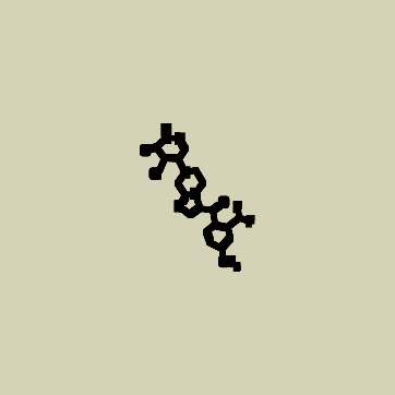 Cc1ccc(C(=O)c2cnc3n2CCN(c2cn[nH]c(=O)c2Cl)C3)c(C(F)F)c1